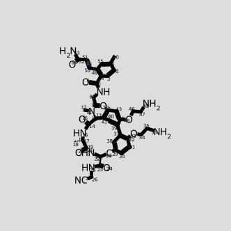 Cc1ccc(C(=O)NCC(=O)N(C)[C@@H]2C(=O)N[C@@H](C)C(=O)N[C@H](C(=O)NCC#N)Cc3ccc(OCCN)c(c3)-c3cc2ccc3OCCN)c(/C=C/C(N)=O)c1